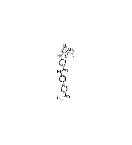 CC(=O)N1CCN(c2ccc(NC(=O)N3CCC(NS(=O)(=O)C(C)(C)C)CC3)cc2)CC1